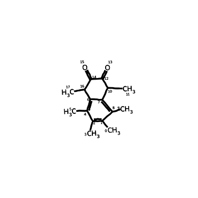 Cc1c(C)c(C)c2c(c1C)C(C)C(=O)C(=O)C2C